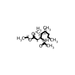 CCC[C@@H](C)[C@@H](C)[C@H](CC(=O)OCC)NC(C)=O